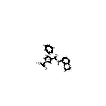 O=C(Nc1cccc2c1OCCO2)[C@H]1CN(C(=O)O)C[C@@H]1c1ccccc1